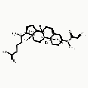 C=CC(=O)N(C)[C@H]1CC[C@@]2(C)C(=CC[C@H]3[C@@H]4CC[C@H]([C@H](C)CCCC(C)C)[C@@]4(C)CC[C@@H]32)C1